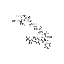 CC(=O)N(CC[C@H](N)C(=O)NCCNC(=O)CNC(=O)C(CC(=O)O)SC[C@H](N)C(=O)O)[C@@H](c1cc(-c2cc(F)ccc2F)cn1Cc1ccccc1)C(C)(C)C.O=C(O)C(F)(F)F